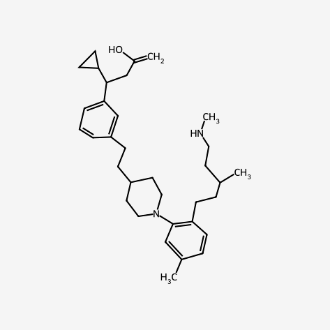 C=C(O)CC(c1cccc(CCC2CCN(c3cc(C)ccc3CCC(C)CCNC)CC2)c1)C1CC1